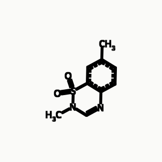 Cc1ccc2c(c1)S(=O)(=O)N(C)C=N2